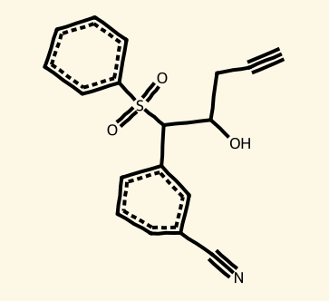 C#CCC(O)C(c1cccc(C#N)c1)S(=O)(=O)c1ccccc1